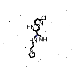 N=C/C(=C\NCCCN1CCCC1)C1=Cc2nc(Cl)ccc2NC1